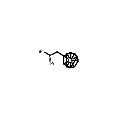 CC(C)P(C[C]12[CH]3[CH]4[CH]5[CH]1[Fe]45321678[CH]2[CH]1[CH]6[CH]7[CH]28)C(C)C